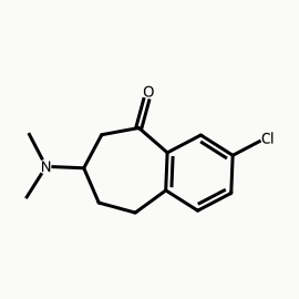 CN(C)C1CCc2ccc(Cl)cc2C(=O)C1